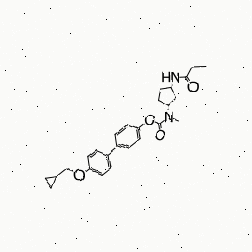 CCC(=O)N[C@H]1CC[C@@H](N(C)C(=O)Oc2ccc(-c3ccc(OCC4CC4)cc3)cc2)C1